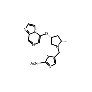 CC(=O)Nc1ncc(CN2C[C@H](Oc3cncc4nccn34)C[C@@H]2C)s1